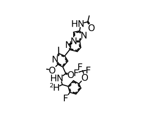 [2H]C(NC(=O)c1cc(-c2ccc3nc(NC(C)=O)cn3n2)c(C)nc1OC)c1cc(OC(F)(F)F)ccc1F